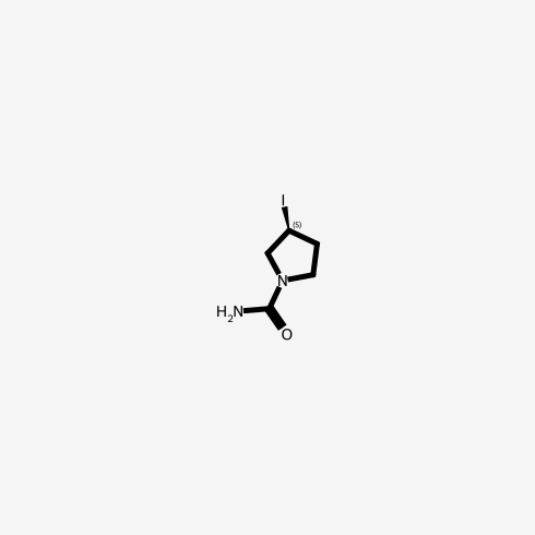 NC(=O)N1CC[C@H](I)C1